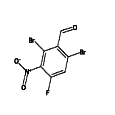 O=Cc1c(Br)cc(F)c([N+](=O)[O-])c1Br